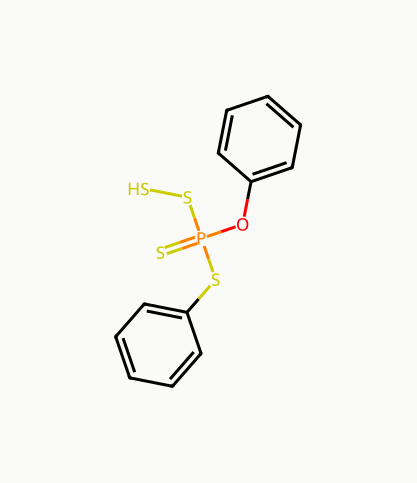 S=P(Oc1ccccc1)(SS)Sc1ccccc1